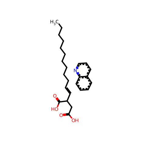 CCCCCCCCCCC=CC(CC(=O)O)C(=O)O.c1ccc2ncccc2c1